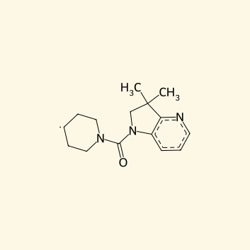 CC1(C)CN(C(=O)N2CC[CH]CC2)c2cccnc21